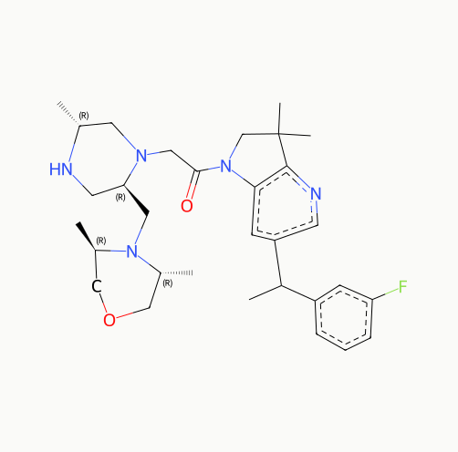 CC(c1cccc(F)c1)c1cnc2c(c1)N(C(=O)CN1C[C@@H](C)NC[C@@H]1CN1[C@H](C)COC[C@H]1C)CC2(C)C